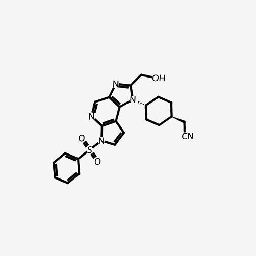 N#CC[C@H]1CC[C@H](n2c(CO)nc3cnc4c(ccn4S(=O)(=O)c4ccccc4)c32)CC1